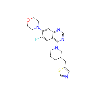 Fc1cc2c(N3CCCC(Cc4cncs4)C3)ncnc2cc1N1CCOCC1